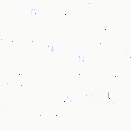 O=C(O)N1CCCCC1c1ncc2cnccn12